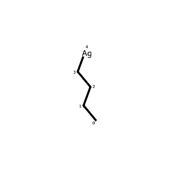 C[CH]C[CH2][Ag]